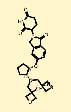 CC1(CN(CC2(C)COC2)[C@@H]2CCC[C@@H]2Oc2ccc3c(c2)CN(C2CCC(=O)NC2=O)C3=O)COC1